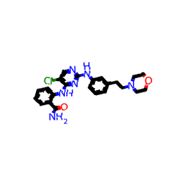 NC(=O)c1ccccc1Nc1nc(Nc2cccc(CCN3CCOCC3)c2)ncc1Cl